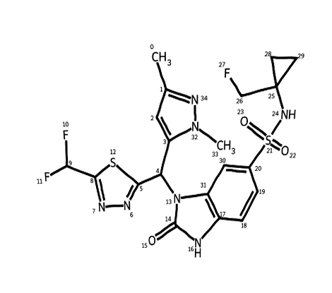 Cc1cc(C(c2nnc(C(F)F)s2)n2c(=O)[nH]c3ccc(S(=O)(=O)NC4(CF)CC4)cc32)n(C)n1